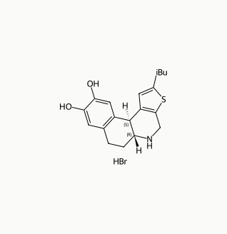 Br.CCC(C)c1cc2c(s1)CN[C@@H]1CCc3cc(O)c(O)cc3[C@@H]21